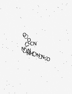 N#Cc1cc(-c2nccc3[nH]c(-c4ccc(N5CCN(C6COC6)CC5)cc4)nc23)ccc1OC1CCOCC1